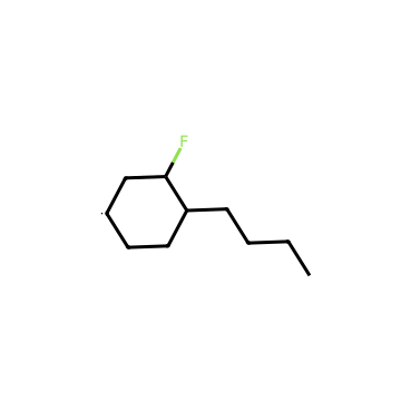 CCCCC1CC[CH]CC1F